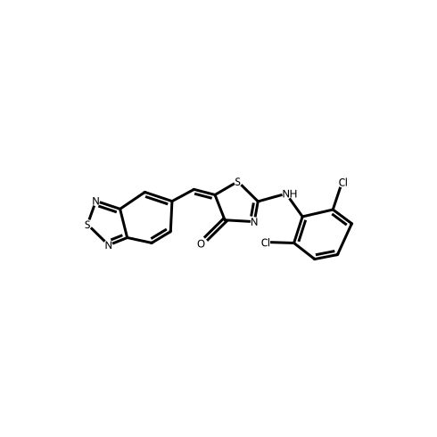 O=C1N=C(Nc2c(Cl)cccc2Cl)SC1=Cc1ccc2nsnc2c1